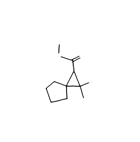 CCCC1(C)C(C(=O)OC(C)C)C12CCCC2